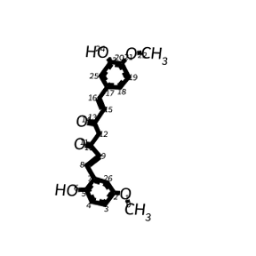 COc1ccc(O)c(C=CC(=O)CC(=O)C=Cc2ccc(OC)c(O)c2)c1